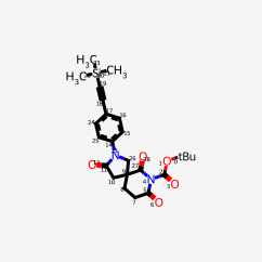 CC(C)(C)OC(=O)N1C(=O)CCC2(CC(=O)N(c3ccc(C#C[Si](C)(C)C)cc3)C2)C1=O